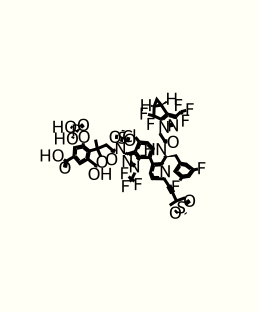 CC(C)(CC(=O)N(c1nn(CC(F)(F)F)c2c(-c3ccc(C#CC(C)(C)S(C)(=O)=O)nc3[C@H](Cc3cc(F)cc(F)c3)NC(=O)Cn3nc(C(F)(F)F)c4c3C(F)(F)[C@@H]3C[C@H]43)ccc(Cl)c12)S(C)(=O)=O)c1c(OP(=O)(O)O)cc(C(=O)O)cc1C(=O)O